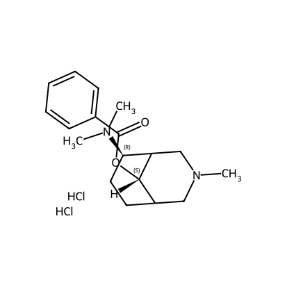 CN1CC2CC[C@@H](N(C)C)C(C1)[C@H]2OC(=O)c1ccccc1.Cl.Cl